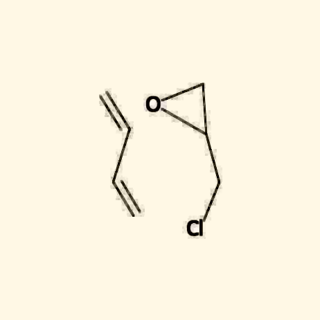 C=CC=C.ClCC1CO1